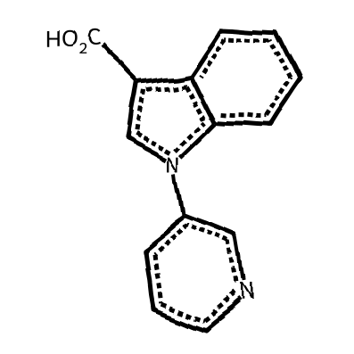 O=C(O)c1cn(-c2cccnc2)c2ccccc12